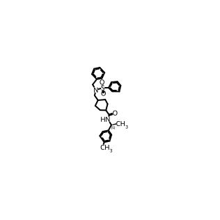 Cc1ccc([C@H](C)NC(=O)C2CCC(CN(Cc3ccccc3)S(=O)(=O)c3ccccc3)CC2)cc1